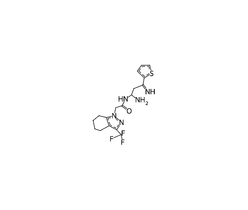 N=C(CC(N)NC(=O)Cn1nc(C(F)(F)F)c2c1CCCC2)c1cccs1